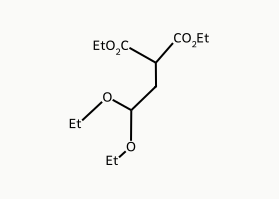 CCOC(=O)C(CC(OCC)OCC)C(=O)OCC